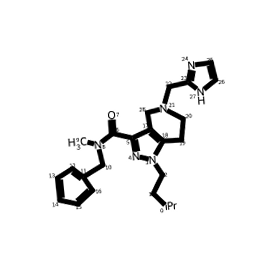 CC(C)CCn1nc(C(=O)N(C)Cc2ccccc2)c2c1CCN(Cc1ncc[nH]1)C2